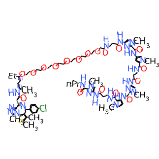 CCCNC(=O)c1nc(NC(=O)CCNC(=O)c2c(NC(=O)c3nc(NC(=O)CCNC(=O)c4cc(NC(=O)c5nc(NC(=O)CCNC(=O)COCCOCCOCCOCCOCCOCCOCCO/C(=C/C=C(\C)NC(=O)C[C@@H]6N=C(c7ccc(Cl)cc7)c7c(sc(C)c7C)-n7c(C)nnc76)CC)cn5C)cn4C)cn3C)ccn2C)cn1C